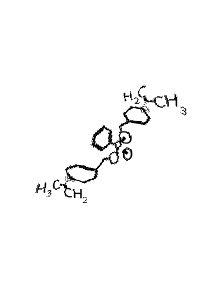 C=C(C)[C@@H]1CC=C(COP(=O)(OCC2=CC[C@@H](C(=C)C)CC2)c2ccccc2)CC1